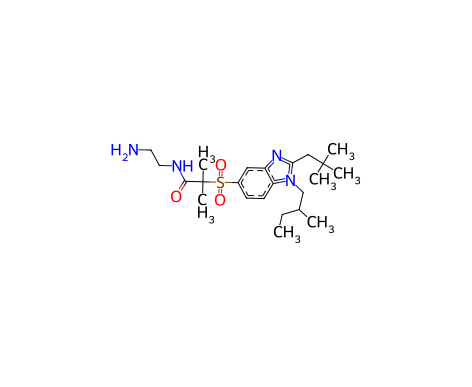 CCC(C)Cn1c(CC(C)(C)C)nc2cc(S(=O)(=O)C(C)(C)C(=O)NCCN)ccc21